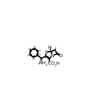 NC(C1=C(C(=O)O)N2C(=O)C[C@H]2S1)c1ccccc1